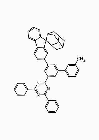 Cc1cccc(-c2cc(-c3ccc4c(c3)C3(c5ccccc5-4)C4CC5CC(C4)CC3C5)cc(-c3nc(-c4ccccc4)nc(-c4ccccc4)n3)c2)c1